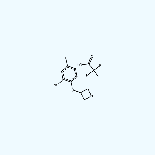 N#Cc1cc(F)ccc1OC1CNC1.O=C(O)C(F)(F)F